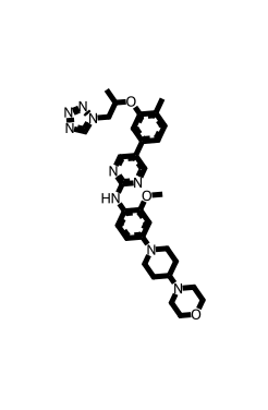 COc1cc(N2CCC(N3CCOCC3)CC2)ccc1Nc1ncc(-c2ccc(C)c(OC(C)Cn3cnnn3)c2)cn1